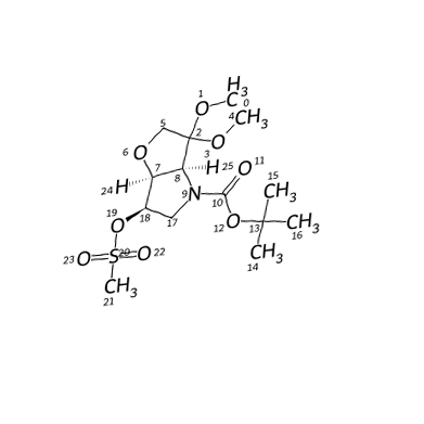 COC1(OC)CO[C@H]2[C@@H]1N(C(=O)OC(C)(C)C)C[C@H]2OS(C)(=O)=O